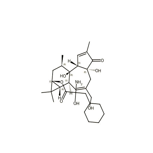 CC1=C[C@H]2[C@@]3(O)[C@H](C)C[C@]4(OC(=O)C(N)(O)CC5CCCCC5)[C@H]([C@@H]3C=C(CO)C[C@]2(O)C1=O)C4(C)C